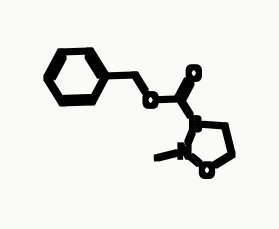 CN1OCCB1C(=O)OCc1ccccc1